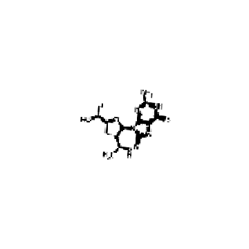 CC[C@H](O)[C@@H]1C[C@@H]([C@H](C)O)[C@H](n2c(=O)sc3c(=O)[nH]c(N)nc32)O1